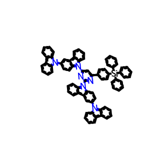 c1ccc([Si](c2ccccc2)(c2ccccc2)c2ccc(-c3cc(-n4c5ccccc5c5cc(-n6c7ccccc7c7ccccc76)ccc54)nc(-n4c5ccccc5c5cc(-n6c7ccccc7c7ccccc76)ccc54)n3)cc2)cc1